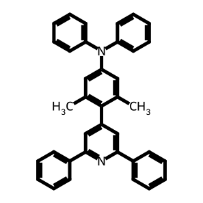 Cc1cc(N(c2ccccc2)c2ccccc2)cc(C)c1-c1cc(-c2ccccc2)nc(-c2ccccc2)c1